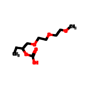 CCC(COCCOCCOC)OC(=O)O